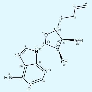 C=CC[CH][C@H]1O[C@@H](n2cnc3c(N)ncnc32)[C@H](O)[C@@H]1[SeH]